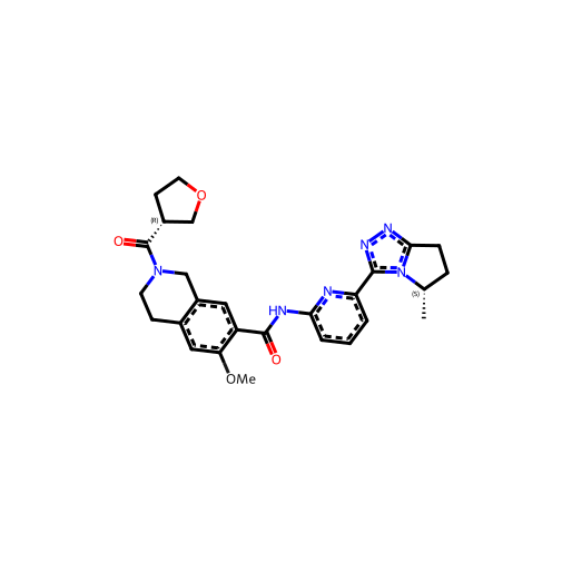 COc1cc2c(cc1C(=O)Nc1cccc(-c3nnc4n3[C@@H](C)CC4)n1)CN(C(=O)[C@@H]1CCOC1)CC2